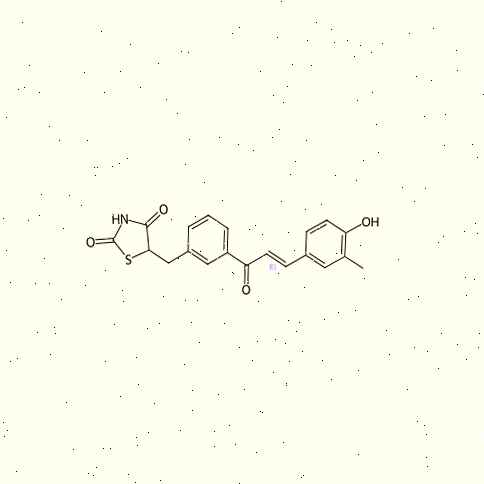 Cc1cc(/C=C/C(=O)c2cccc(CC3SC(=O)NC3=O)c2)ccc1O